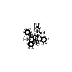 O=C(NCC(F)(F)F)N[C@@H]1CCCC[C@@H]1C(=O)N1CC[C@@H]2[C@H](c3ccccc3)Nc3ccccc3[C@@H]21